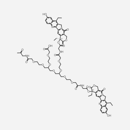 CCc1c2c(nc3ccc(O)cc13)-c1cc3c(c(=O)n1C2)COC(=O)[C@@]3(CC)OC(=O)CNC(=O)COCCOCC(COCC(COCCOCC(=O)NCC(C)=O)OCCOCC(=O)O)OCCOCC(=O)NCC(=O)O[C@]1(CC)C(=O)OCc2c1cc1n(c2=O)Cc2c-1nc1ccc(O)cc1c2CC